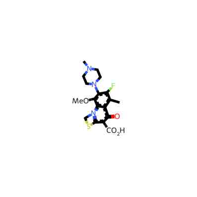 COc1c(N2CCN(C)CC2)c(F)c(C)c2c(=O)c(C(=O)O)c3n(c12)CS3